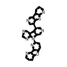 c1cnc2c(c1)oc1ccc(-n3c4cncc(-c5cncc6c5sc5ncccc56)c4c4cncnc43)nc12